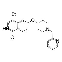 CCc1c[nH]c(=O)c2ccc(OC3CCN(Cc4ccccn4)CC3)cc12